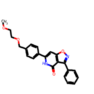 COCCOCc1ccc(-c2cc3onc(-c4ccccc4)c3c(=O)[nH]2)cc1